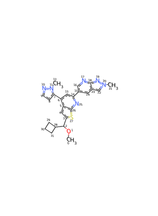 COC(c1cc2c(-c3ccnn3C)cc(-c3cnc4nn(C)cc4c3)nc2s1)C1CCC1